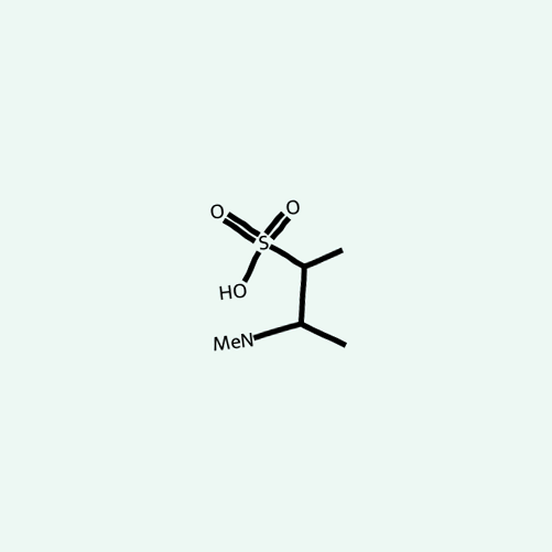 CNC(C)C(C)S(=O)(=O)O